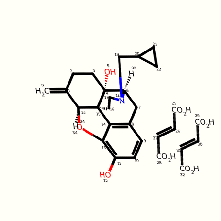 C=C1CC[C@@]2(O)[C@H]3Cc4ccc(O)c5c4[C@@]2(CCN3CC2CC2)[C@H]1O5.O=C(O)/C=C/C(=O)O.O=C(O)/C=C/C(=O)O